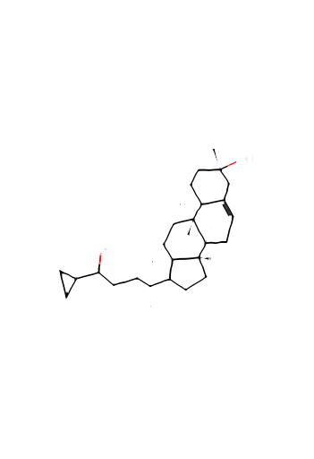 C[C@H](CCC(O)C1CC1)C1CC[C@H]2[C@@H]3CC=C4C[C@@](C)(O)CC[C@]4(C)[C@H]3CC[C@]12C